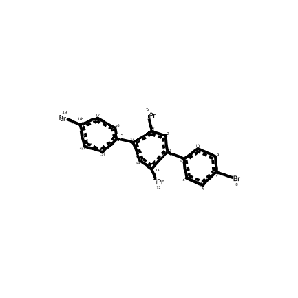 CC(C)c1cc(-c2ccc(Br)cc2)c(C(C)C)cc1-c1ccc(Br)cc1